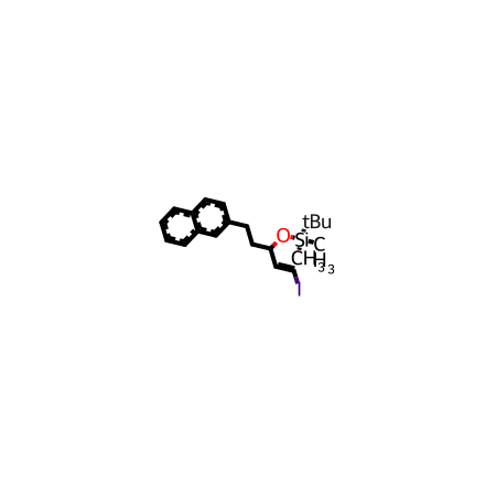 CC(C)(C)[Si](C)(C)OC(/C=C/I)CCc1ccc2ccccc2c1